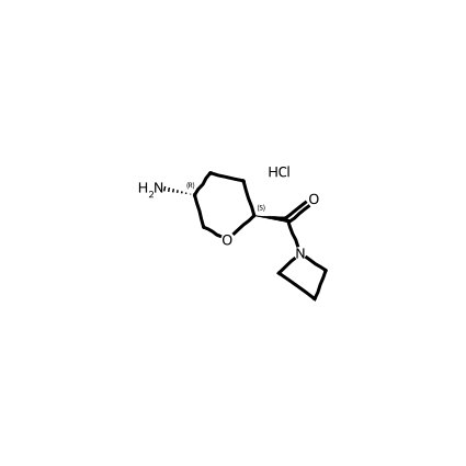 Cl.N[C@@H]1CC[C@@H](C(=O)N2CCC2)OC1